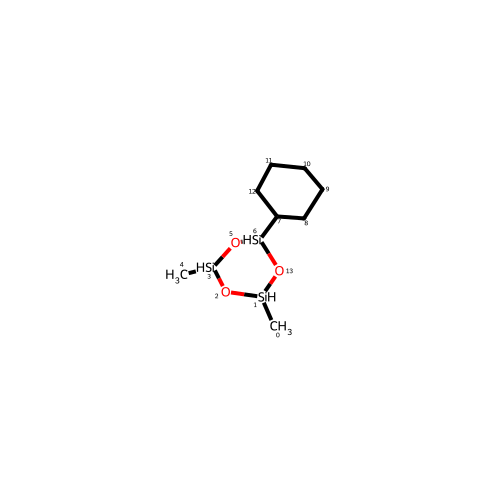 C[SiH]1O[SiH](C)O[SiH](C2CCCCC2)O1